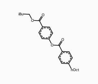 CCCCCCCCc1ccc(C(=O)Oc2ccc(C(=O)OCC(C)CC)cc2)cc1